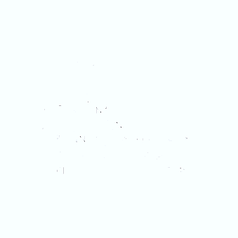 O=C(NC1N=C(c2ccccc2)c2ccccc2N(CCCl)C1=O)OCc1ccccc1